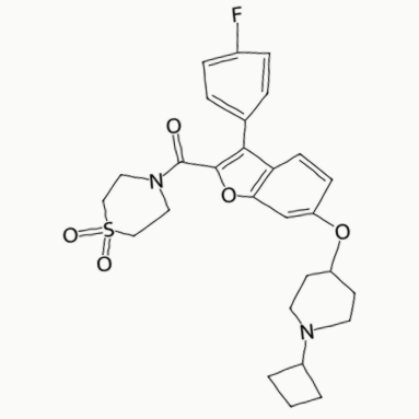 O=C(c1oc2cc(OC3CCN(C4CCC4)CC3)ccc2c1-c1ccc(F)cc1)N1CCS(=O)(=O)CC1